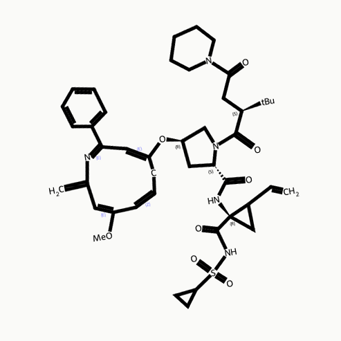 C=CC1C[C@]1(NC(=O)[C@@H]1C[C@@H](O/C2=C/C(c3ccccc3)=N\C(=C)/C=C(OC)\C=C/C2)CN1C(=O)[C@@H](CC(=O)N1CCCCC1)C(C)(C)C)C(=O)NS(=O)(=O)C1CC1